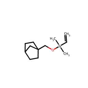 C=C[Si](C)(C)OCC12CCC(CC1)C2